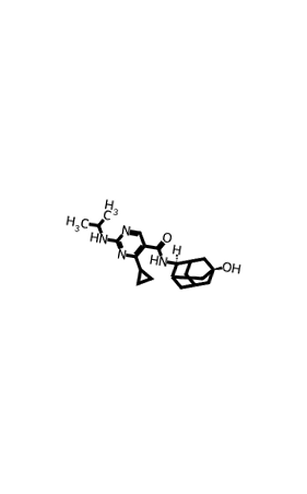 CC(C)Nc1ncc(C(=O)N[C@H]2C3CC4CC2C[C@@](O)(C4)C3)c(C2CC2)n1